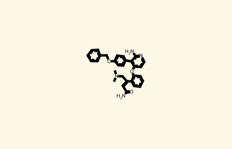 CN(C)CC(=CC(N)=O)c1ccccc1Oc1ccnc(N)c1-c1ccc(OCc2ccccc2)cc1